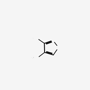 CSc1cs[s+]c1C=O.[I-]